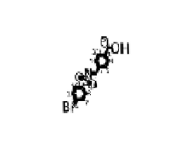 O=C(O)c1ccc(C=NS(=O)(=O)c2ccc(Br)cc2)cc1